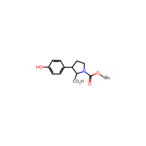 CC(C)(C)OC(=O)N1CCC(c2ccc(O)cc2)C1C(=O)O